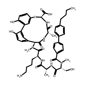 CCCCc1ccc(-c2ccc(C(=O)N(C)[C@H](CO)C(=O)N[C@H](C)C(=O)N[C@@H](CCCCN)C(=O)N(C)[C@@H]3C(=O)N[C@@H](C)C(=O)N[C@H](C(=O)O)Cc4ccc(O)c(c4)-c4cc3ccc4O)cc2)cc1